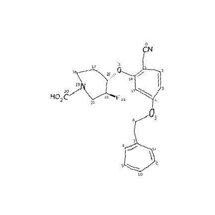 N#Cc1ccc(OCc2ccccc2)cc1O[C@H]1CCN(C(=O)O)C[C@@H]1F